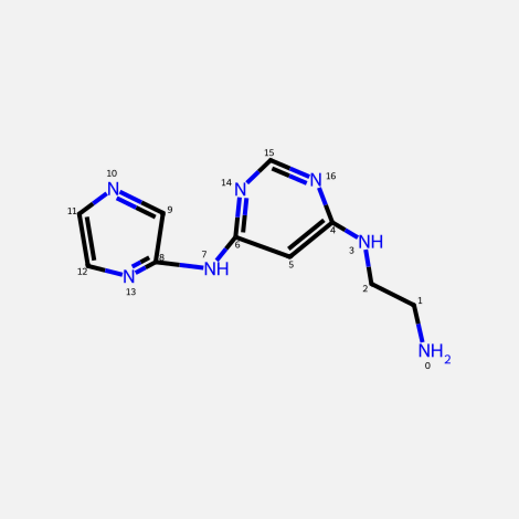 NCCNc1cc(Nc2cnccn2)ncn1